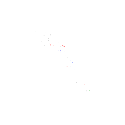 O=C(COC1CC(OC(F)(F)F)C1)NC12CC(NC(=O)[C@H]3C[C@H](O)c4cc(Cl)ccc4O3)(C1)C2